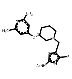 CC(=O)Nc1nc(F)c(CN2CCC[C@@H](Oc3cc(C)nc(C)c3)C2)s1